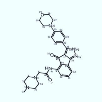 CN1CCN(CC(=O)Nc2cccc3c2C(=O)c2c-3n[nH]c2-c2ccc(N3CCOCC3)cc2)CC1